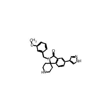 COc1cccc(CN2C(=O)c3cc(-c4cn[nH]c4)ccc3C23CCNCC3)c1